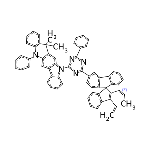 C=CC1=C(/C=C\C)C2(c3ccccc31)c1ccccc1-c1cc(-c3nc(-c4ccccc4)nc(-n4c5ccccc5c5cc6c(cc54)C(C)(C)c4ccccc4N6c4ccccc4)n3)ccc12